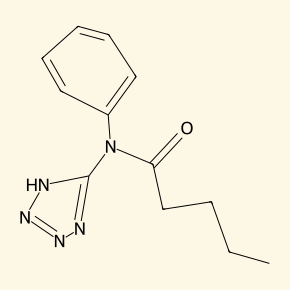 CCCCC(=O)N(c1ccccc1)c1nnn[nH]1